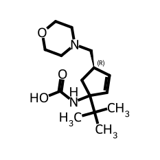 CC(C)(C)C1(NC(=O)O)C=C[C@H](CN2CCOCC2)C1